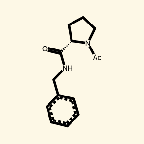 CC(=O)N1CCC[C@H]1C(=O)NCc1ccccc1